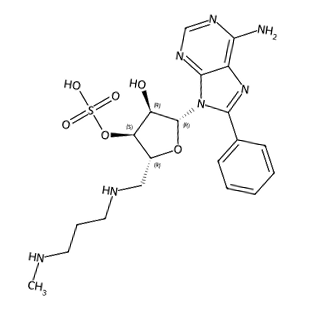 CNCCCNC[C@H]1O[C@@H](n2c(-c3ccccc3)nc3c(N)ncnc32)[C@H](O)[C@@H]1OS(=O)(=O)O